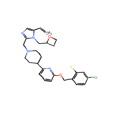 C=Cc1cnc(CN2CCC(c3cccc(OCc4ccc(Cl)cc4F)n3)CC2)n1CC1CCO1